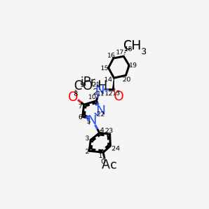 CC(=O)c1ccc(-n2cc(OC(=O)O)c(N(C(=O)[C@H]3CC[C@H](C)CC3)C(C)C)n2)cc1